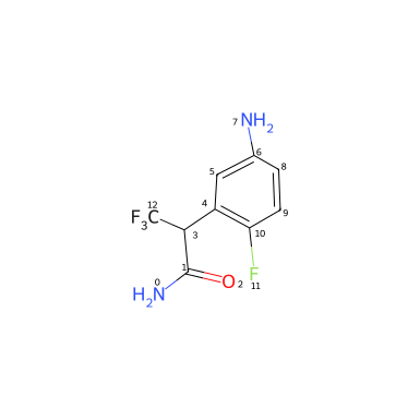 NC(=O)C(c1cc(N)ccc1F)C(F)(F)F